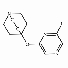 Clc1cncc(OC23CCN(CC2)CC3)n1